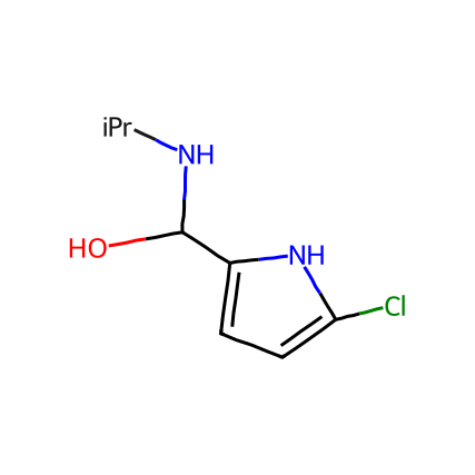 CC(C)NC(O)c1ccc(Cl)[nH]1